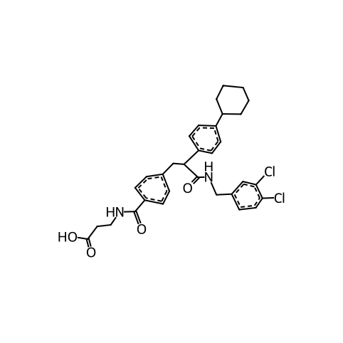 O=C(O)CCNC(=O)c1ccc(CC(C(=O)NCc2ccc(Cl)c(Cl)c2)c2ccc(C3CCCCC3)cc2)cc1